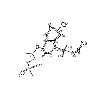 CC(CCS(C)(=O)=O)Oc1ccc(C(C)(C)N=[N+]=[N-])c2cc(Cl)ncc12